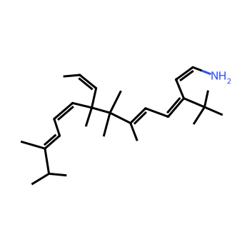 C/C=C\C(C)(/C=C\C=C(/C)C(C)C)C(C)(C)/C(C)=C/C=C(\C=C/N)C(C)(C)C